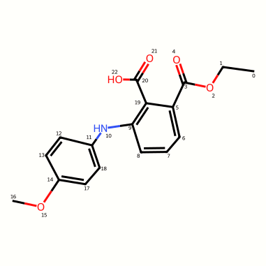 CCOC(=O)c1cccc(Nc2ccc(OC)cc2)c1C(=O)O